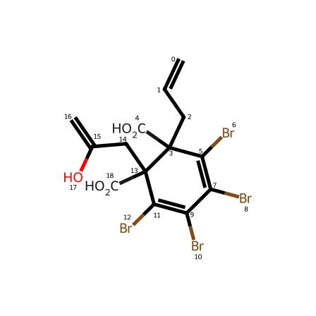 C=CCC1(C(=O)O)C(Br)=C(Br)C(Br)=C(Br)C1(CC(=C)O)C(=O)O